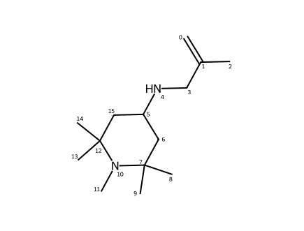 C=C(C)CNC1CC(C)(C)N(C)C(C)(C)C1